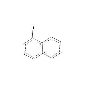 [Ti][c]1cccc2ccccc12